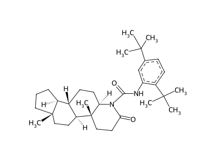 CC(C)(C)c1ccc(C(C)(C)C)c(NC(=O)N2C(=O)CC[C@]3(C)[C@H]4CC[C@]5(C)CCC[C@H]5[C@@H]4CC[C@@H]23)c1